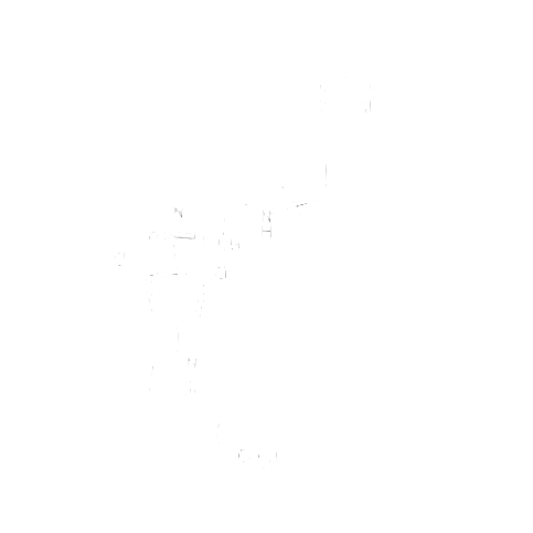 CN(CC(O)CNC(C)(C)CCCc1ccccc1)S(=O)(=O)c1c(Cl)cc(-c2cccc(CCC(=O)O)n2)cc1Cl